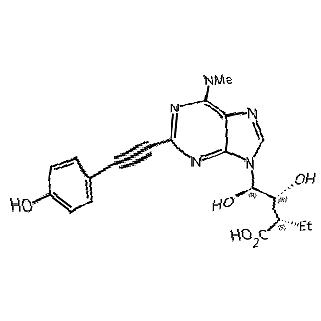 CC[C@H](C(=O)O)[C@@H](O)[C@@H](O)n1cnc2c(NC)nc(C#Cc3ccc(O)cc3)nc21